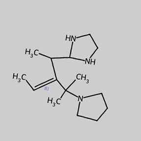 C/C=C(\C(C)C1NCCN1)C(C)(C)N1CCCC1